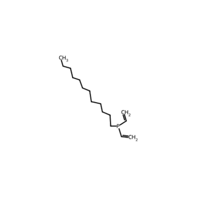 C=CP(C=C)CCCCCCCCCCCC